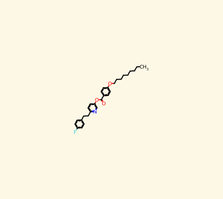 CCCCCCCCCOc1ccc(C(=O)Oc2ccc(CCc3ccc(F)cc3)nc2)cc1